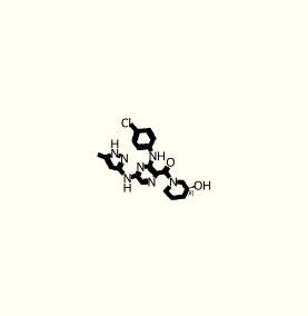 Cc1cc(Nc2cnc(C(=O)N3CCC[C@@H](O)C3)c(Nc3ccc(Cl)cc3)n2)n[nH]1